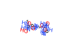 COc1nc2c(Nc3cccc(-c4ncn(C)n4)c3OC)cc(NC(=O)C3CC3Cn3cnc(-c4cccc(Nc5cc(NC(=O)C6CC6)nc6[nH]c(CO)nc56)c4OC)n3)nc2[nH]1